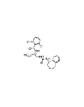 O=C(NC[C@H](NC(=O)c1c(Cl)cccc1Cl)C(=O)O)NC1CCCCc2ccccc21